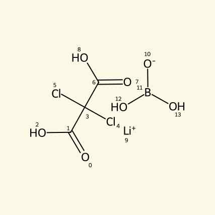 O=C(O)C(Cl)(Cl)C(=O)O.[Li+].[O-]B(O)O